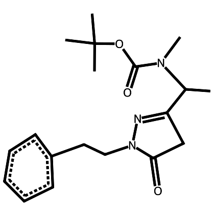 CC(C1=NN(CCc2ccccc2)C(=O)C1)N(C)C(=O)OC(C)(C)C